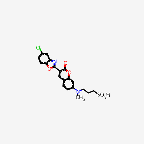 CN(CCCS(=O)(=O)O)c1ccc2cc(-c3nc4cc(Cl)ccc4o3)c(=O)oc2c1